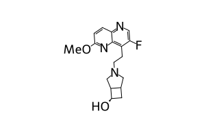 COc1ccc2ncc(F)c(CCN3CC4C[C@@H](O)C4C3)c2n1